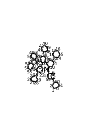 c1ccc(-c2ccc(N(c3ccc(-c4ccccc4)cc3)c3cc(-c4ccccc4)cc4c3-c3ccc(-c5ccccc5)cc3C43c4ccccc4-c4ccccc43)cc2)cc1